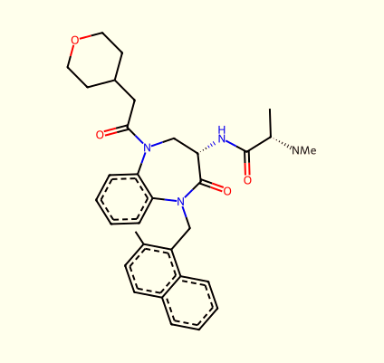 CN[C@@H](C)C(=O)N[C@H]1CN(C(=O)CC2CCOCC2)c2ccccc2N(Cc2c(C)ccc3ccccc23)C1=O